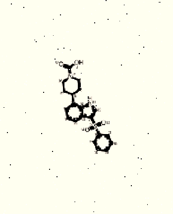 O=C(O)N1CCC(c2cccc3c(S(=O)(=O)c4ccccc4)c[nH]c23)CC1